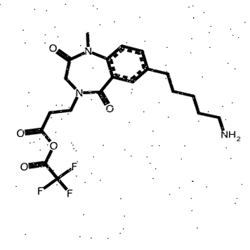 CN1C(=O)CN(CCC(=O)OC(=O)C(F)(F)F)C(=O)c2cc(CCCCCN)ccc21